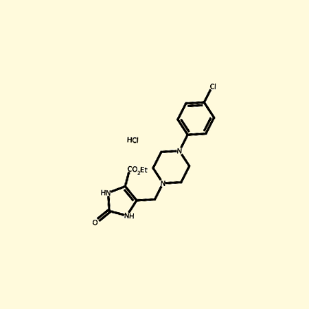 CCOC(=O)c1[nH]c(=O)[nH]c1CN1CCN(c2ccc(Cl)cc2)CC1.Cl